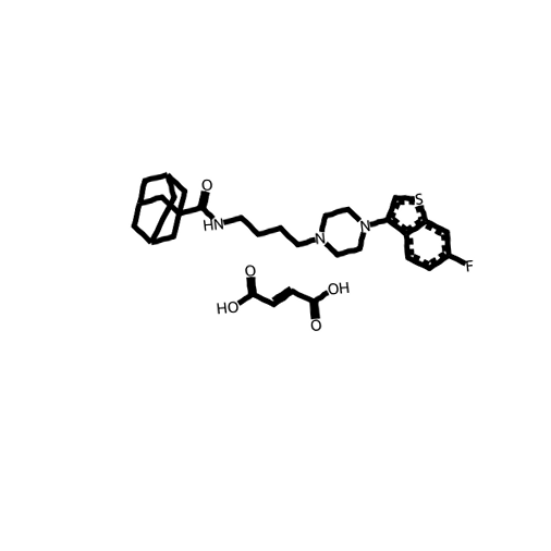 O=C(NCCCCN1CCN(c2csc3cc(F)ccc23)CC1)C12CC3CC(CC(C3)C1)C2.O=C(O)C=CC(=O)O